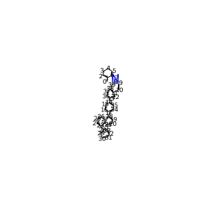 CC1=CCCC=C1/N=C1/C=Cc2cc(-c3ccc(-c4ccc5c6c(cccc46)-c4ccccc4-5)cc3)ccc2C1